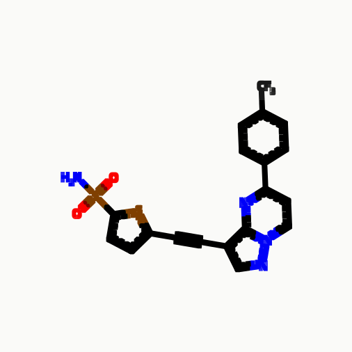 NS(=O)(=O)c1ccc(C#Cc2cnn3ccc(-c4ccc(C(F)(F)F)cc4)nc23)s1